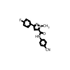 Cn1nc(-c2ccc(F)cc2)cc1C(=O)Nc1ccc(C#N)cc1